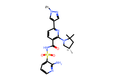 CC(C)n1cc(-c2ccc(C(=O)NS(=O)(=O)c3cccnc3N)c(N3C[C@@H](C)CC3(C)C)n2)cn1